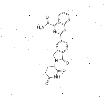 NC(=O)c1nc(-c2ccc3c(c2)CN([C@H]2CCC(=O)NC2=O)C3=O)cc2ccccc12